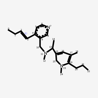 CC/C=C/c1ccncc1CN(C)C(C)C1=CC(C)=C(CCC)N(C)C1